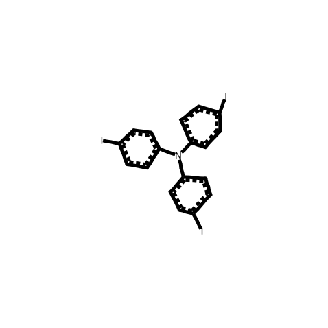 Ic1ccc(N(c2ccc(I)cc2)c2ccc(I)cc2)cc1